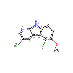 COc1ccc2[nH]c3ncc(Br)cc3c2c1Br